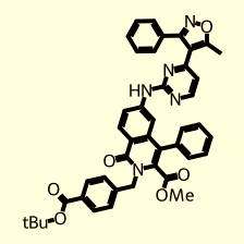 COC(=O)c1c(-c2ccccc2)c2cc(Nc3nccc(-c4c(-c5ccccc5)noc4C)n3)ccc2c(=O)n1Cc1ccc(C(=O)OC(C)(C)C)cc1